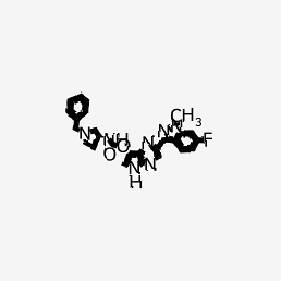 Cn1nc(-c2cnc3[nH]cc(OC(=O)N[C@@H]4CCN(Cc5ccccc5)C4)c3n2)c2ccc(F)cc21